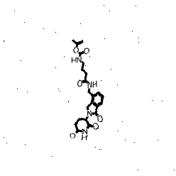 C=C(C)OC(=O)NCCCC(=O)NCc1cccc2c1CN(C1CCC(=O)NC1=O)C2=O